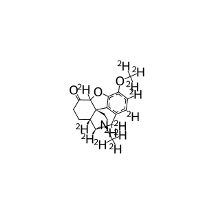 [2H]c1c([2H])c2c3c(c1OC([2H])([2H])[2H])OC1([2H])C(=O)CC[C@]4([2H])[C@@]31CCN(C([2H])([2H])[2H])[C@]4([2H])C2([2H])[2H]